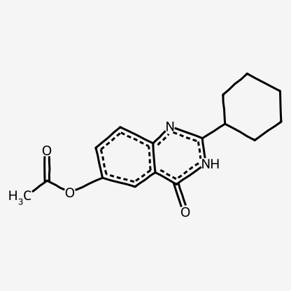 CC(=O)Oc1ccc2nc(C3CCCCC3)[nH]c(=O)c2c1